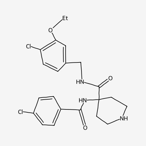 CCOc1cc(CNC(=O)C2(NC(=O)c3ccc(Cl)cc3)CCNCC2)ccc1Cl